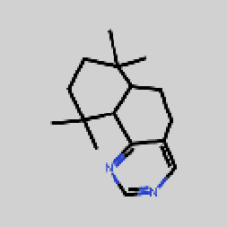 CC1(C)CCC(C)(C)C2c3ncncc3CCC21